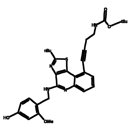 CCCCc1nc2c(NCc3ccc(O)cc3OC)nc3cccc(C#CCCNC(=O)OC(C)(C)C)c3c2s1